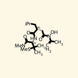 C=C(C)N(O)C(=O)C[C@@H](CC(C)C)C(=O)N[C@@H](C(=O)NC)C(C)(C)SC